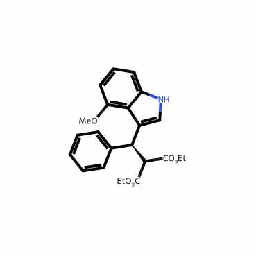 CCOC(=O)C(C(=O)OCC)[C@@H](c1ccccc1)c1c[nH]c2cccc(OC)c12